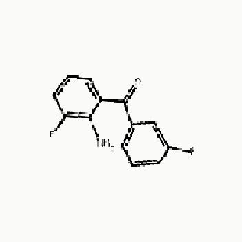 Nc1c(F)cccc1C(=O)c1cccc(F)c1